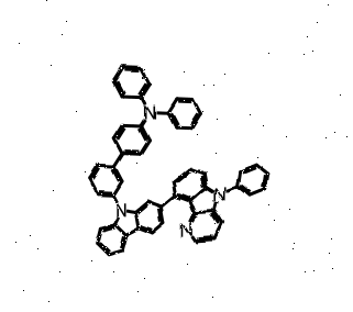 c1ccc(N(c2ccccc2)c2ccc(-c3cccc(-n4c5ccccc5c5ccc(-c6cccc7c6c6ncccc6n7-c6ccccc6)cc54)c3)cc2)cc1